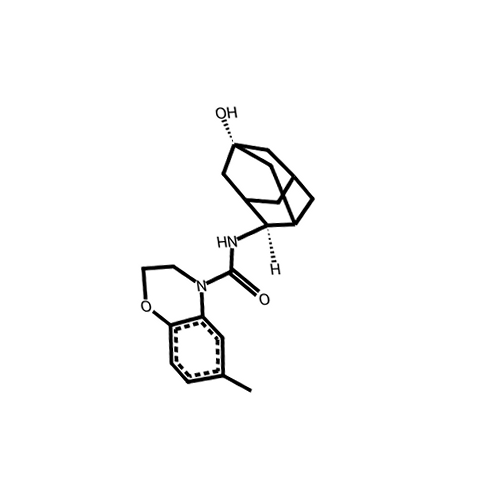 Cc1ccc2c(c1)N(C(=O)N[C@H]1C3CC4CC1C[C@](O)(C4)C3)CCO2